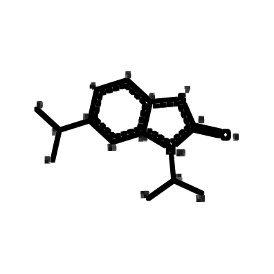 CC(C)c1ccc2sc(=O)n(C(C)C)c2c1